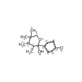 CC1N(C)C(C)(C)COC1(O)c1ccc(Cl)cc1